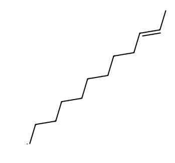 [CH2]CCCCCCCC/C=C/C